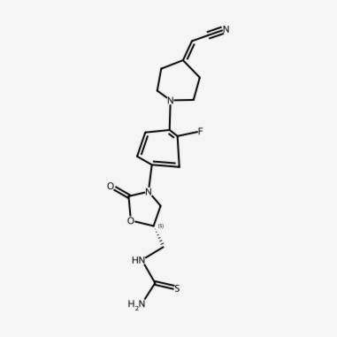 N#CC=C1CCN(c2ccc(N3C[C@H](CNC(N)=S)OC3=O)cc2F)CC1